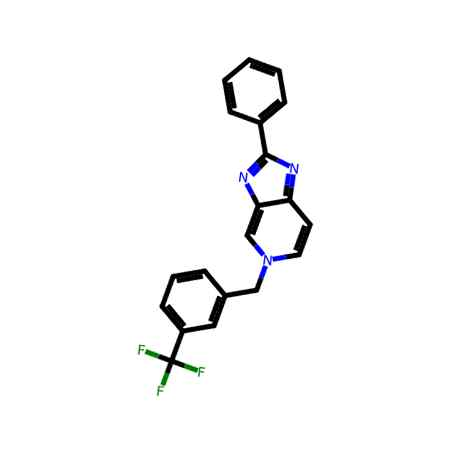 FC(F)(F)c1cccc(Cn2ccc3nc(-c4ccccc4)nc-3c2)c1